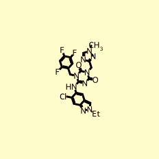 CCn1cc2cc(Nc3nc(=O)n(Cc4ncn(C)n4)c(=O)n3Cc3cc(F)c(F)cc3F)c(Cl)cc2n1